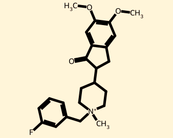 COc1cc2c(cc1OC)C(=O)C(C1CC[N+](C)(Cc3cccc(F)c3)CC1)C2